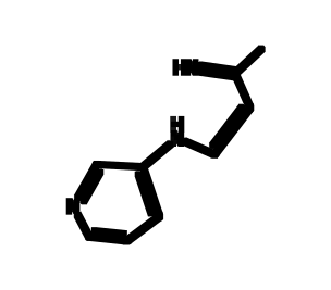 CC(=N)/C=C\Nc1cccnc1